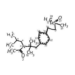 CC(=O)N(CC(C)C)C(C)(C)Cc1ccc(CC[SH](C)(C)=O)cc1